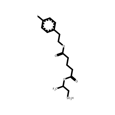 O=C(CCCC(=O)OC(CS(=O)(=O)O)C(F)(F)F)OCCc1ccc(I)cc1